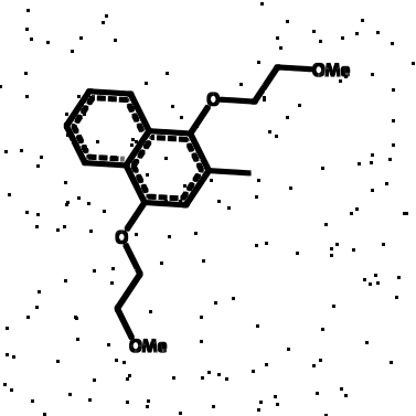 COCCOc1cc(C)c(OCCOC)c2ccccc12